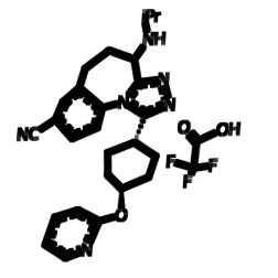 CC(C)NC1CCc2cc(C#N)ccc2-n2c1nnc2[C@H]1CC[C@H](Oc2ccccn2)CC1.O=C(O)C(F)(F)F